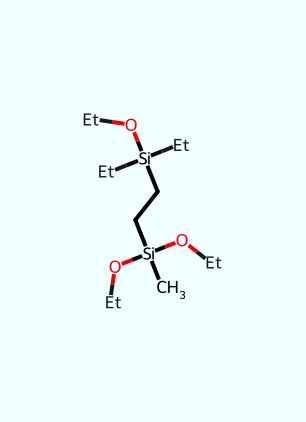 CCO[Si](CC)(CC)CC[Si](C)(OCC)OCC